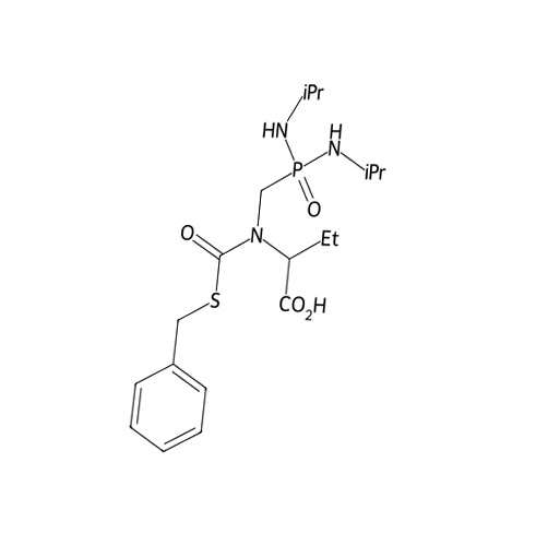 CCC(C(=O)O)N(CP(=O)(NC(C)C)NC(C)C)C(=O)SCc1ccccc1